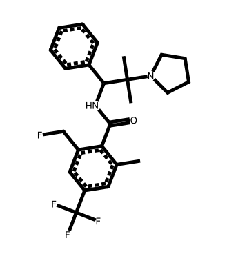 Cc1cc(C(F)(F)F)cc(CF)c1C(=O)NC(c1ccccc1)C(C)(C)N1CCCC1